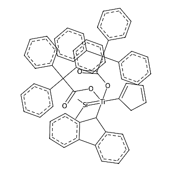 C[Si](C)=[Ti]([O]C(=O)C(c1ccccc1)(c1ccccc1)c1ccccc1)([O]C(=O)C(c1ccccc1)(c1ccccc1)c1ccccc1)([C]1=CC=CC1)[CH]1c2ccccc2-c2ccccc21